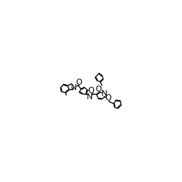 Cc1cccc2c1CN(C(=O)c1ccc3nc(-c4ccc(OCc5ccccc5)nc4OCc4ccccc4)oc3c1)C2